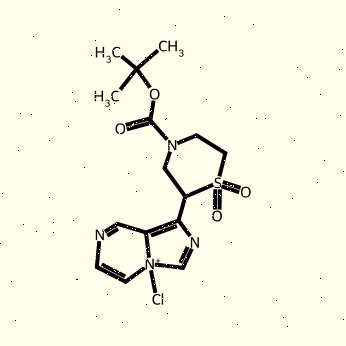 CC(C)(C)OC(=O)N1CCS(=O)(=O)C(C2=C3C=NC=C[N+]3(Cl)C=N2)C1